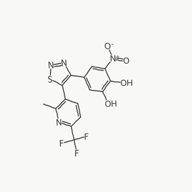 Cc1nc(C(F)(F)F)ccc1-c1snnc1-c1cc(O)c(O)c([N+](=O)[O-])c1